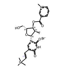 C[n+]1cccc(C(=O)O[C@H]2[C@@H](F)[C@H](n3cc(/C=C/[Si](C)(C)C)c(=O)[nH]c3=O)O[C@@H]2CO)c1.[Br-]